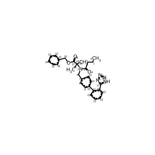 CCCC(=O)N(Cc1ccc(-c2ccccc2-c2nnn[nH]2)cc1)C(C)(C)C(=O)OCc1ccccc1